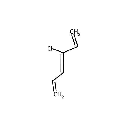 C=CC=C(Cl)C=C